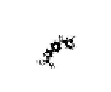 CCOC(C)n1cc(-c2ccc(Nc3ccnc(Cl)n3)cc2)cn1